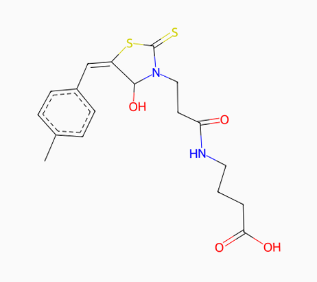 Cc1ccc(/C=C2/SC(=S)N(CCC(=O)NCCCC(=O)O)C2O)cc1